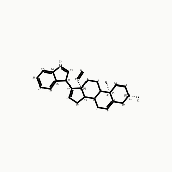 C=C[C@]12CCC3C(CC=C4C[C@@H](C)CC[C@@]43C)C1CC=C2C1C=Nc2ccccc21